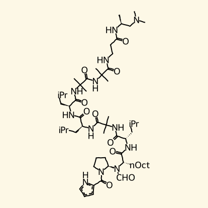 CCCCCCCC[C@@H](C(=O)N[C@@H](CC(C)C)C(=O)NC(C)(C)C(=O)N[C@@H](CC(C)C)C(=O)N[C@@H](CC(C)C)C(=O)NC(C)(C)C(=O)NC(C)(C)C(=O)NCCC(=O)N[C@@H](C)CN(C)C)N(C=O)[C@@H]1CCCN1C(=O)c1ccc[nH]1